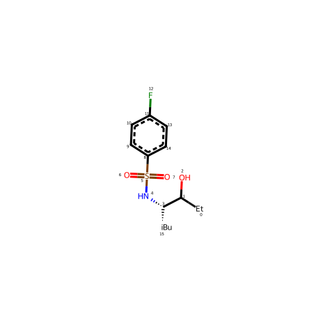 CCC(O)[C@@H](NS(=O)(=O)c1ccc(F)cc1)[C@@H](C)CC